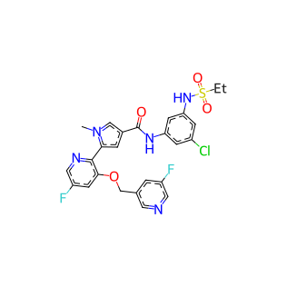 CCS(=O)(=O)Nc1cc(Cl)cc(NC(=O)c2cc(-c3ncc(F)cc3OCc3cncc(F)c3)n(C)c2)c1